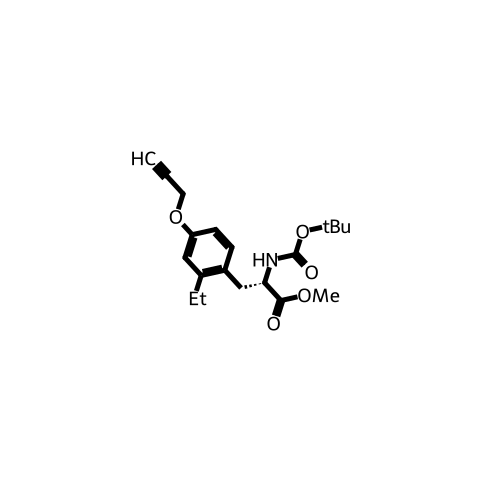 C#CCOc1ccc(C[C@H](NC(=O)OC(C)(C)C)C(=O)OC)c(CC)c1